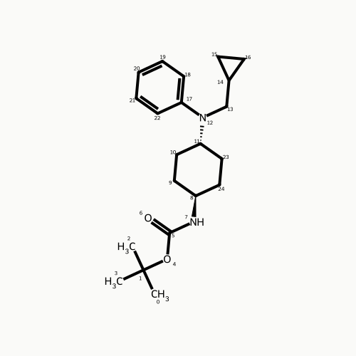 CC(C)(C)OC(=O)N[C@H]1CC[C@H](N(CC2CC2)c2ccccc2)CC1